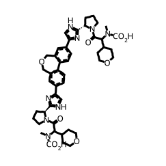 CN(C(=O)O)C(C(=O)N1CCC[C@H]1c1nc(-c2ccc3c(c2)COCc2cc(-c4c[nH]c([C@@H]5CCCN5C(=O)C(C5CCOCC5)N(C)C(=O)O)n4)ccc2-3)c[nH]1)C1CCOCC1